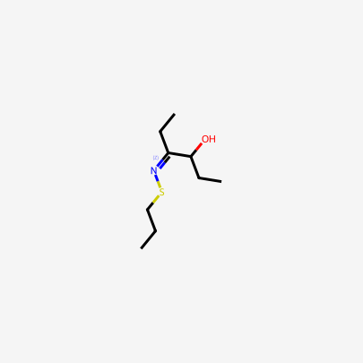 CCCS/N=C(/CC)C(O)CC